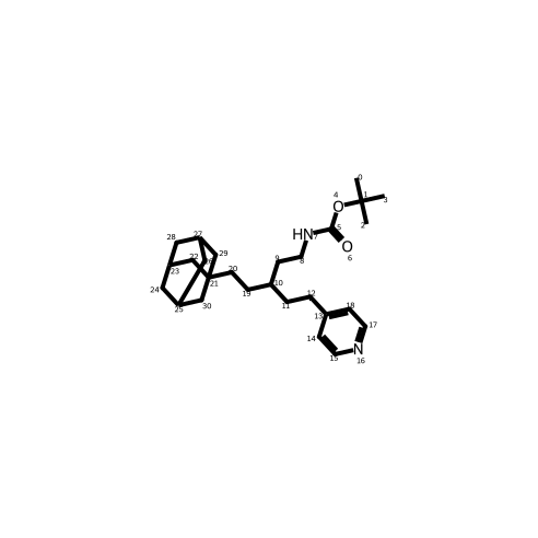 CC(C)(C)OC(=O)NCCC(C[CH]c1ccncc1)CCC12CC3CC(CC(C3)C1)C2